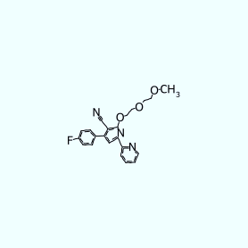 COCCOCCOc1nc(-c2ccccn2)cc(-c2ccc(F)cc2)c1C#N